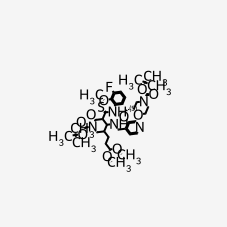 COc1c(F)cccc1NC(=S)C1C(=O)N(C(=O)OC(C)(C)C)CC(CCC(OC)OC)C1NCc1ccncc1OC[C@@H]1CN(C(=O)OC(C)(C)C)CCO1